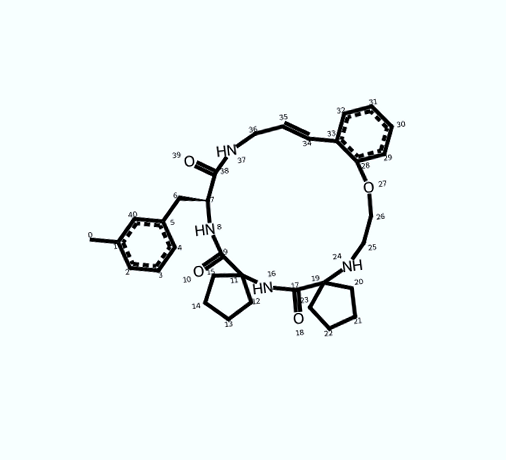 Cc1cccc(C[C@@H]2NC(=O)C3(CCCC3)NC(=O)C3(CCCC3)NCCOc3ccccc3/C=C/CNC2=O)c1